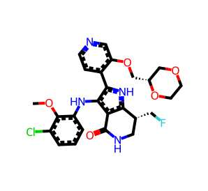 COc1c(Cl)cccc1Nc1c(-c2ccncc2OC[C@@H]2COCCO2)[nH]c2c1C(=O)NC[C@H]2CF